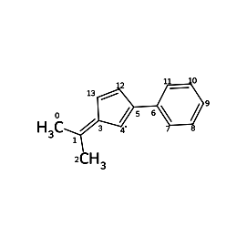 CC(C)=C1[C]=C(c2ccccc2)C=C1